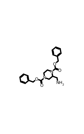 NCC1CN(C(=O)OCc2ccccc2)CCN1C(=O)OCc1ccccc1